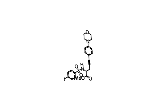 COC(=O)C(CC#Cc1ccc(N2CCOCC2)cc1)NS(=O)(=O)c1ccc(I)cc1